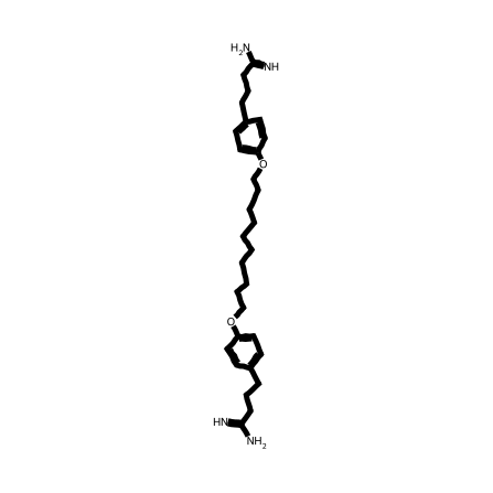 N=C(N)CCCc1ccc(OCCCCCCCCCCOc2ccc(CCCC(=N)N)cc2)cc1